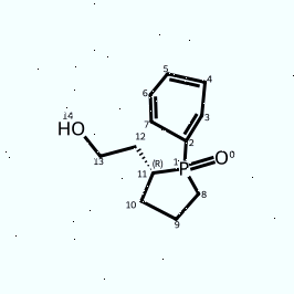 O=P1(c2ccccc2)CCC[C@@H]1CCO